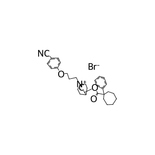 N#Cc1ccc(OCCC[N+]23CCC(CC2)C(OC(=O)C2(c4ccccc4)CCCCCC2)C3)cc1.[Br-]